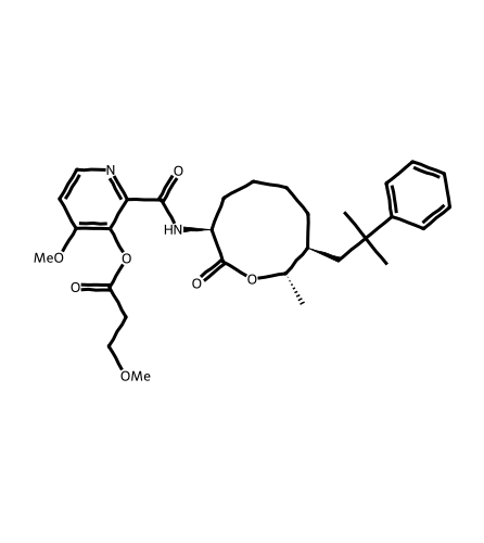 COCCC(=O)Oc1c(OC)ccnc1C(=O)N[C@H]1CCCC[C@@H](CC(C)(C)c2ccccc2)[C@H](C)OC1=O